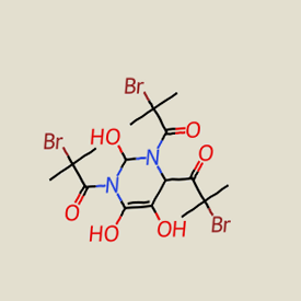 CC(C)(Br)C(=O)C1C(O)=C(O)N(C(=O)C(C)(C)Br)C(O)N1C(=O)C(C)(C)Br